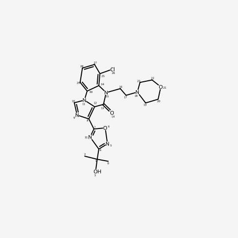 CC(C)(O)c1noc(-c2ncn3c2c(=O)n(CCN2CCOCC2)c2c(Cl)cccc23)n1